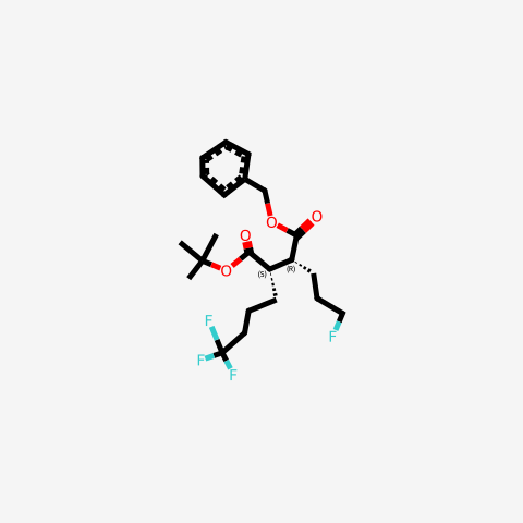 CC(C)(C)OC(=O)[C@@H](CCCC(F)(F)F)[C@@H](CCCF)C(=O)OCc1ccccc1